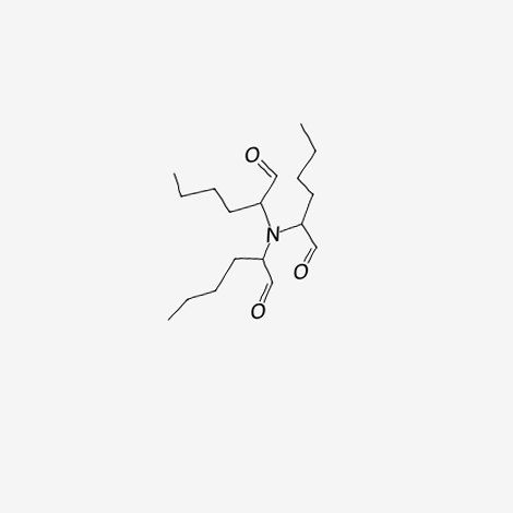 CCCCC(C=O)N(C(C=O)CCCC)C(C=O)CCCC